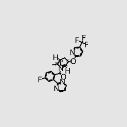 C[C@H]1[C@@H]2C[C@H](Oc3ccc(C(F)(F)F)cn3)[C@@H](C2)N1C(=O)c1ccc(F)cc1-c1ncccn1